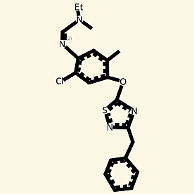 CCN(C)/C=N\c1cc(C)c(Oc2nc(Cc3ccccc3)ns2)cc1Cl